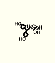 CC(O)CO.O=C(O)CCC(c1ccc(O)cc1)c1ccc(O)cc1